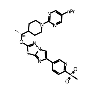 CCCc1cnc(N2CCC([C@@H](C)Oc3nn4cc(-c5ccc(S(C)(=O)=O)nc5)nc4s3)CC2)nc1